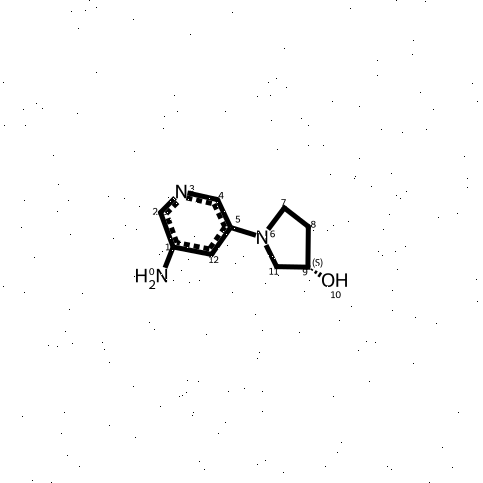 Nc1cncc(N2CC[C@H](O)C2)c1